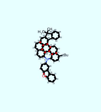 CC(C)(C)c1ccc(N(c2ccc3oc4ccccc4c3c2)c2ccc3ccccc3c2-c2ccccc2-c2cccc3c2-c2ccccc2C3(C)C)c(-c2ccccc2)c1